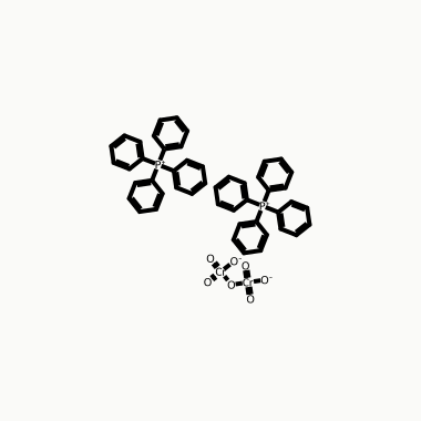 [O]=[Cr](=[O])([O-])[O][Cr](=[O])(=[O])[O-].c1ccc([P+](c2ccccc2)(c2ccccc2)c2ccccc2)cc1.c1ccc([P+](c2ccccc2)(c2ccccc2)c2ccccc2)cc1